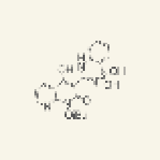 CC(C)COn1c(=O)c(C2=NS(O)(O)c3ccccc3N2)c(O)c2cccnc21